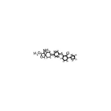 C[C@@H]1OCC2(CCN(c3cnc(Sc4cccc(-c5nccs5)c4Cl)cn3)CC2)[C@@H]1N